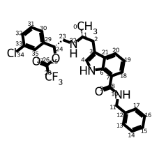 C[C@H](Cc1c[nH]c2c(C(=O)NCc3ccccc3)cccc12)NC[C@H](OC(=O)C(F)(F)F)c1cccc(Cl)c1